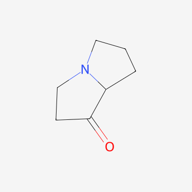 O=C1CCN2CCCC12